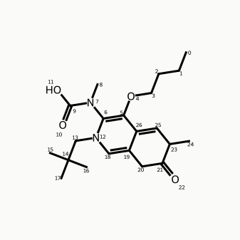 CCCCOC1=C(N(C)C(=O)O)N(CC(C)(C)C)C=C2CC(=O)C(C)C=C21